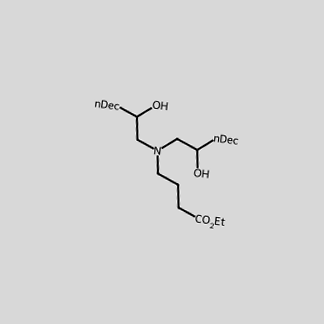 CCCCCCCCCCC(O)CN(CCCC(=O)OCC)CC(O)CCCCCCCCCC